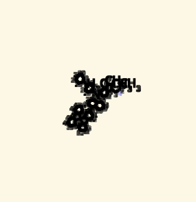 CC/C=C\C1=C(C)C(C)(C)c2cc(N(c3ccc(-c4ccccc4)cc3)c3ccc(-c4ccc5c(c4)C4(c6ccccc6-c6ccccc64)c4ccccc4-5)c4ccccc34)ccc21